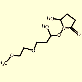 COCCOCCC(O)ON1C(=O)CCC1O